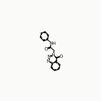 O=C(Cn1nnc2ccccc2c1=O)Nc1cc[c]cc1